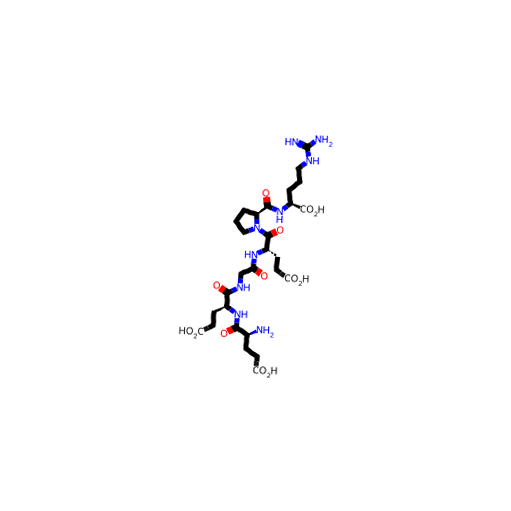 N=C(N)NCCC[C@H](NC(=O)[C@@H]1CCCN1C(=O)[C@H](CCC(=O)O)NC(=O)CNC(=O)[C@H](CCC(=O)O)NC(=O)[C@@H](N)CCC(=O)O)C(=O)O